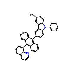 N#Cc1ccc2c(c1)c1cc(-c3c4ccccc4c(-c4cccc5cccnc45)c4ccccc34)ccc1n2-c1ccccc1